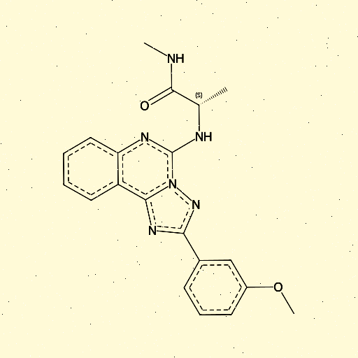 CNC(=O)[C@H](C)Nc1nc2ccccc2c2nc(-c3cccc(OC)c3)nn12